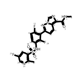 CNC(=O)c1ncn2nc(-c3c(F)ccc(NS(=O)(=O)c4cc(F)cnc4C)c3F)ccc12